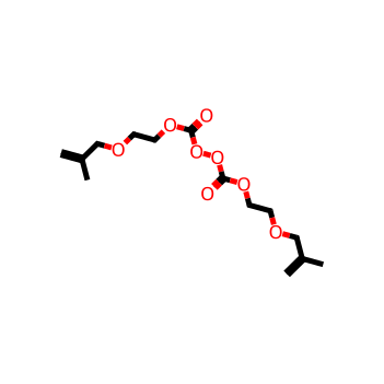 C=C(C)COCCOC(=O)OOC(=O)OCCOCC(=C)C